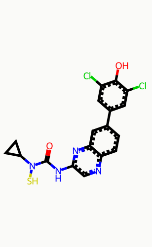 O=C(Nc1cnc2ccc(-c3cc(Cl)c(O)c(Cl)c3)cc2n1)N(S)C1CC1